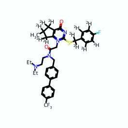 [2H]c1c([2H])c(C([2H])([2H])Sc2nc(=O)c3c(n2CC(=O)N(CCN(CC)CC)Cc2ccc(-c4ccc(C(F)(F)F)cc4)cc2)C([2H])([2H])C([2H])(C)C3([2H])[2H])c([2H])c([2H])c1F